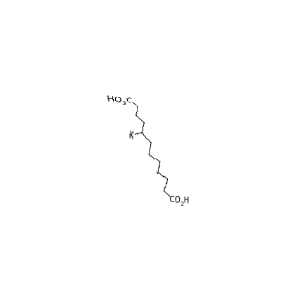 O=C(O)CCCCCC[CH]([K])CCCC(=O)O